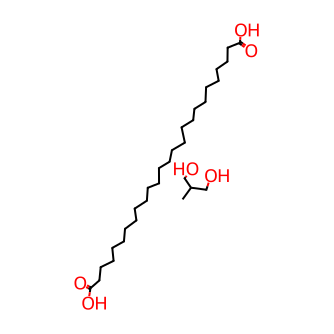 CC(CO)CO.O=C(O)CCCCCCCCCCCCCCCCCCCCCCCCC(=O)O